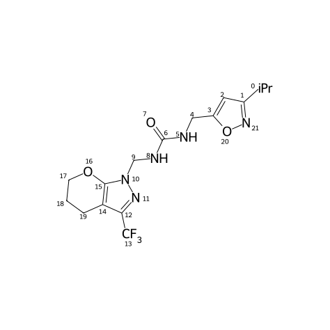 CC(C)c1cc(CNC(=O)NCn2nc(C(F)(F)F)c3c2OCCC3)on1